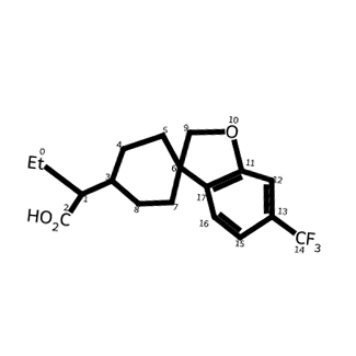 CCC(C(=O)O)C1CCC2(CC1)COc1cc(C(F)(F)F)ccc12